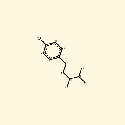 CC(C)C(C)CCc1ccc(O)cc1